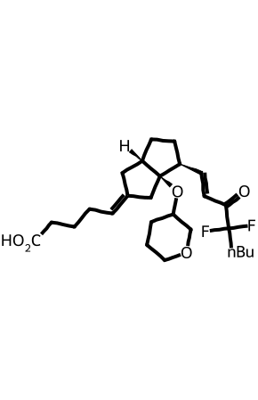 CCCCC(F)(F)C(=O)C=C[C@@H]1CC[C@H]2CC(=CCCCC(=O)O)C[C@]21OC1CCCOC1